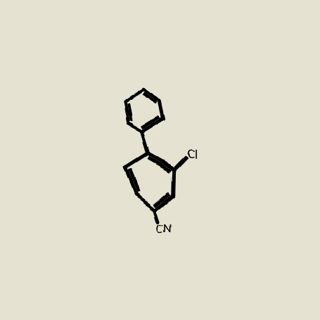 N#Cc1ccc(-c2ccccc2)c(Cl)c1